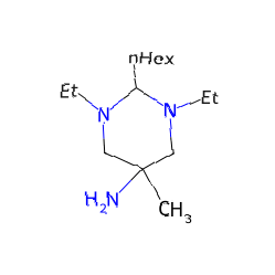 CCCCCCC1N(CC)CC(C)(N)CN1CC